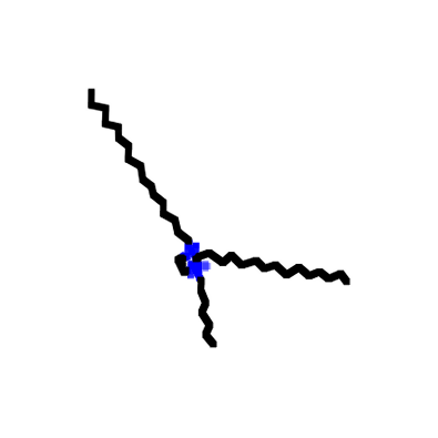 CCCCCCCCCCCCCCCCCn1cc[n+](CCCCCCC)c1CCCCCCCCCCCCCC